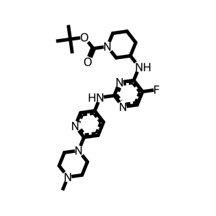 CN1CCN(c2ccc(Nc3ncc(F)c(NC4CCCN(C(=O)OC(C)(C)C)C4)n3)cn2)CC1